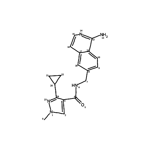 Cn1cc(C(=O)NCc2ccc3c(N)nccc3c2)c(C2CC2)n1